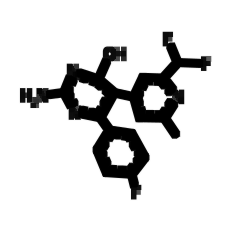 Cc1cc(-c2c(O)nc(N)nc2-c2ccc(F)cc2)cc(C(F)F)n1